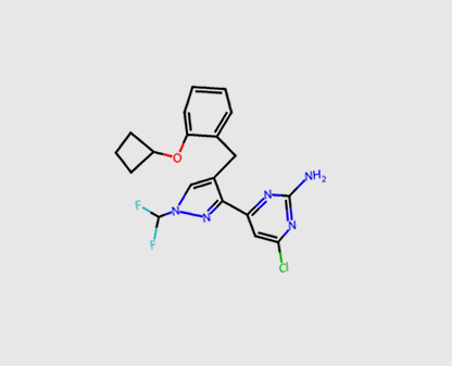 Nc1nc(Cl)cc(-c2nn(C(F)F)cc2Cc2ccccc2OC2CCC2)n1